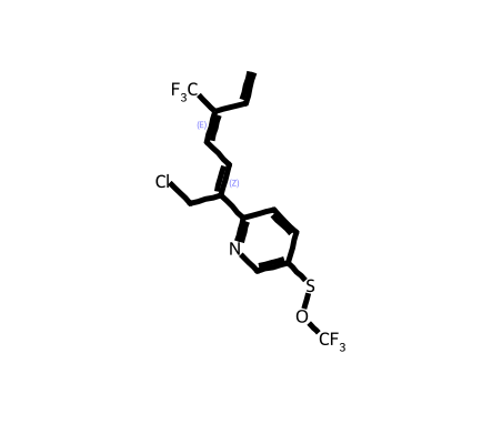 C=C/C(=C\C=C(/CCl)c1ccc(SOC(F)(F)F)cn1)C(F)(F)F